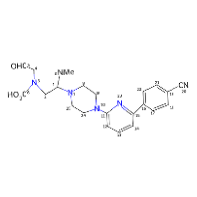 CNC(CN(CC=O)C(=O)O)N1CCN(c2cccc(-c3ccc(C#N)cc3)n2)CC1